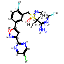 CN=S(=O)(Cc1cc(-c2cc(-c3ncc(Cl)cn3)no2)ccc1F)C(C)(C)/C(N)=N\CF